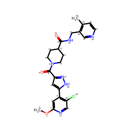 COc1cc(-c2cc(C(=O)N3CCC(C(=O)NCc4cnccc4C)CC3)n[nH]2)c(Cl)cn1